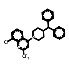 FC(F)(F)c1cc(N2CCC(C(c3ccccc3)c3ccccc3)CC2)c2cccc(Cl)c2n1